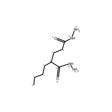 CCCCC(CCC(=O)NN)C(=O)NN